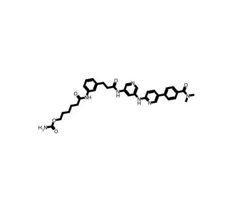 CN(C)C(=O)c1ccc(-c2ccc(Nc3cncc(NC(=O)CCc4cccc(NC(=O)CCCCCOC(N)=O)c4)c3)nc2)cc1